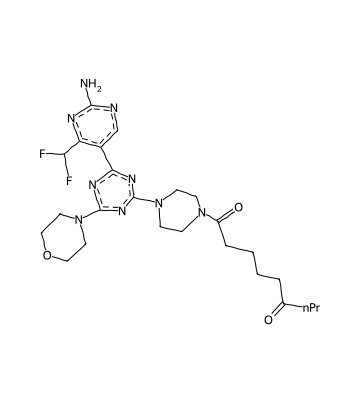 CCCC(=O)CCCCC(=O)N1CCN(c2nc(-c3cnc(N)nc3C(F)F)nc(N3CCOCC3)n2)CC1